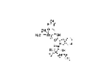 COC(=O)N[C@H](C(=O)N1CC2(CCCCC2)C[C@H]1C(=O)N[C@@H](CCC(C)(F)F)C(=O)C(=O)NC(C)C)C(C)(C)C